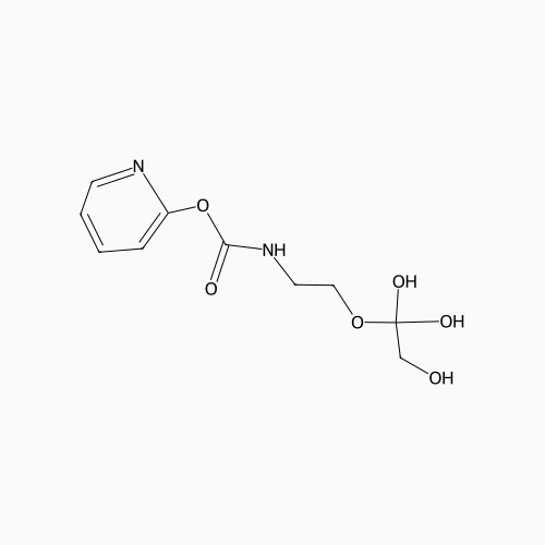 O=C(NCCOC(O)(O)CO)Oc1ccccn1